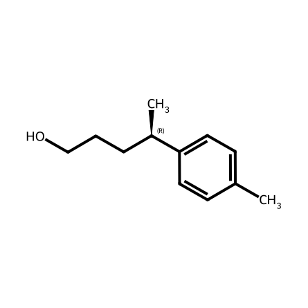 Cc1ccc([C@H](C)CCCO)cc1